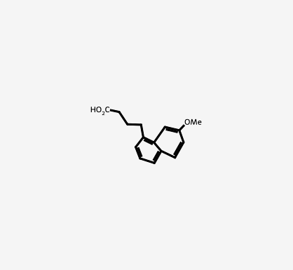 COc1ccc2cccc(CCCC(=O)O)c2c1